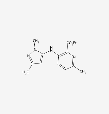 CCOC(=O)c1nc(C)ccc1Nc1cc(C)nn1C